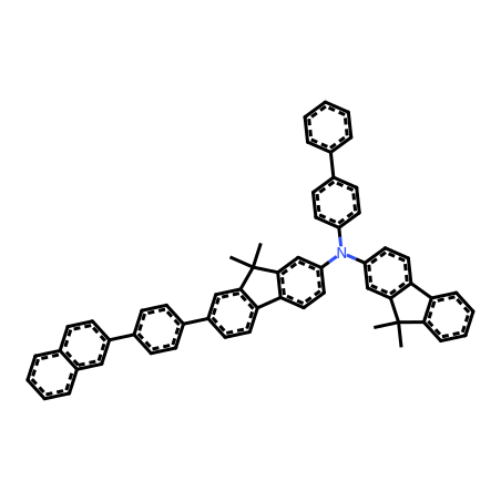 CC1(C)c2ccccc2-c2ccc(N(c3ccc(-c4ccccc4)cc3)c3ccc4c(c3)C(C)(C)c3cc(-c5ccc(-c6ccc7ccccc7c6)cc5)ccc3-4)cc21